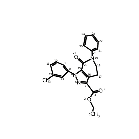 CCOC(=O)c1nn(-c2cccc(Cl)c2)c2c1CCN(c1ccccc1)C2=O